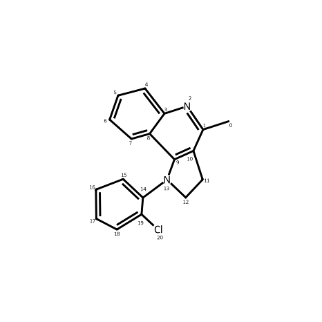 Cc1nc2ccccc2c2c1CCN2c1ccccc1Cl